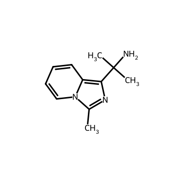 Cc1nc(C(C)(C)N)c2ccccn12